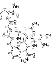 NC(=O)C[C@H](NC(=O)[C@H](CC(N)=O)NC(=O)[C@@H](N)CO)C(=O)N[C@@H](Cc1ccccc1)C(=O)NCC(=O)N1CCC[C@H]1C(=O)O